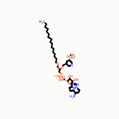 CCCCCCCCCCCCCCCCCOC[C@H](COP(O)(=P)OC[C@H]1O[C@@](C#N)(c2ccc3c(N)ccnn23)[C@H](O)[C@@H]1O)OCc1cncc(S(C)(=O)=O)c1